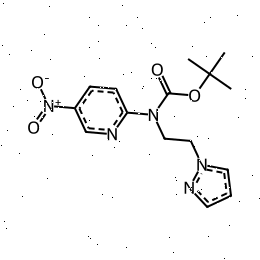 CC(C)(C)OC(=O)N(CCn1cccn1)c1ccc([N+](=O)[O-])cn1